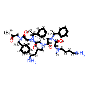 C[C@@H](c1ccccc1)N(CC(=O)N(CCCCN)CC(=O)N(CC(=O)N(CC(=O)C(C)(C)C)[C@@H](C)c1ccccc1)[C@@H](C)c1ccccc1)C(=O)CN(C)CCCCN